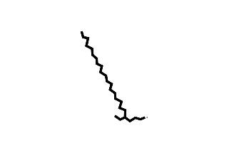 [CH2]CCCC(CC)CCCCCCCCCCCCCCCCCCC